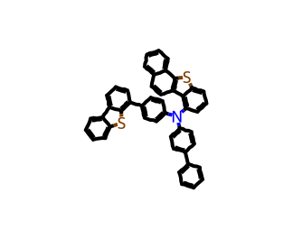 c1ccc(-c2ccc(N(c3ccc(-c4cccc5c4sc4ccccc45)cc3)c3cccc4sc5c6ccccc6ccc5c34)cc2)cc1